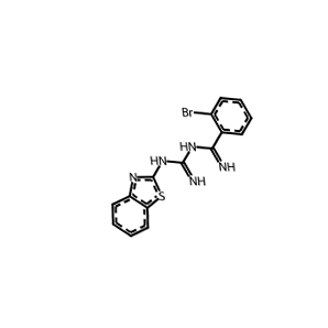 N=C(NC(=N)c1ccccc1Br)Nc1nc2ccccc2s1